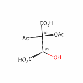 CC(=O)O[C@@](C(C)=O)(C(=O)O)[C@@H](O)C(=O)O